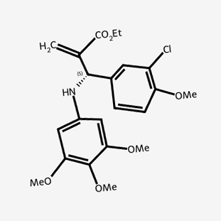 C=C(C(=O)OCC)[C@@H](Nc1cc(OC)c(OC)c(OC)c1)c1ccc(OC)c(Cl)c1